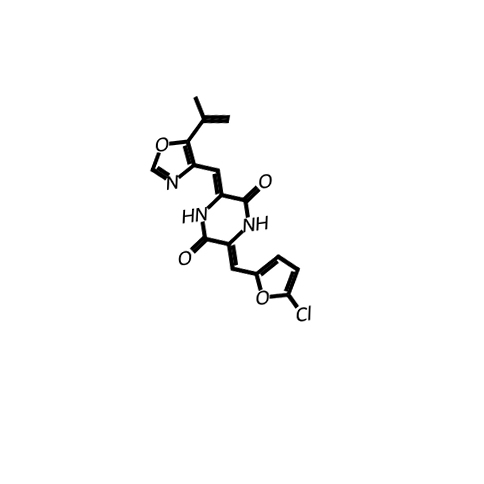 C=C(C)c1ocnc1/C=c1\[nH]c(=O)/c(=C/c2ccc(Cl)o2)[nH]c1=O